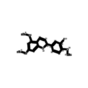 CCCCOc1cc(OCCCC)c2c(c1)OC(c1ccc(OCCCC)c(F)c1)C=C2